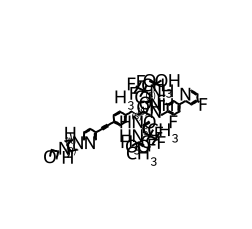 COC(=O)N[C@H](C(=O)N[C@@H](Cc1ccc(C#Cc2ccc(N3C[C@H]4C[C@@H]3CN4C3COC3)nc2)cc1)[C@@H](O)CN(Cc1c(F)cc(-c2cc(F)ccn2)cc1F)NC(=O)[C@@H](NC(=O)O)C(C)(C)C(F)(F)F)C(C)(C)C(F)(F)F